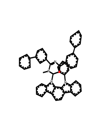 CN1C(c2cccc(-c3ccccc3)c2)=NC(c2cccc(-c3ccccc3)c2)=NC1n1c2ccccc2c2ccc3c4ccccc4n(-c4ccccc4)c3c21